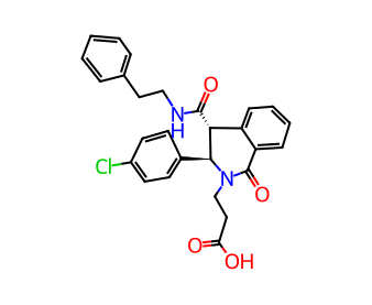 O=C(O)CCN1C(=O)c2ccccc2[C@@H](C(=O)NCCc2ccccc2)[C@@H]1c1ccc(Cl)cc1